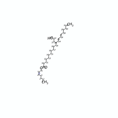 CCCC/C=C\COC(=O)CCCCCCCCCCC(CCO)CCCCCCCCC